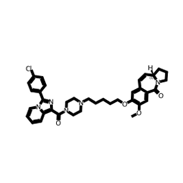 COc1cc2c(cc1OCCCCCN1CCN(C(=O)c3nc(-c4ccc(Cl)cc4)n4ccccc34)CC1)C=C[C@@H]1CCCN1C2=O